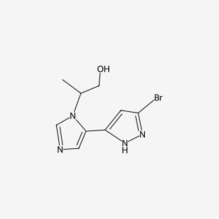 CC(CO)n1cncc1-c1cc(Br)n[nH]1